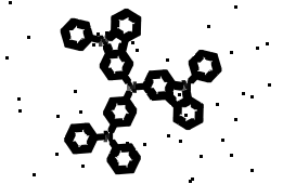 c1ccc(N(c2ccccc2)c2ccc(N(c3ccc4c(c3)c3ccccc3n4-c3ccccc3)c3ccc4c(c3)c3ccccc3n4-c3ccccc3)cc2)cc1